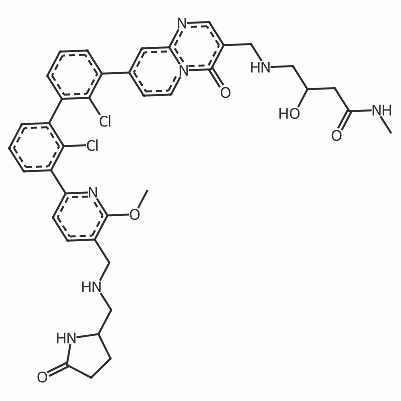 CNC(=O)CC(O)CNCc1cnc2cc(-c3cccc(-c4cccc(-c5ccc(CNCC6CCC(=O)N6)c(OC)n5)c4Cl)c3Cl)ccn2c1=O